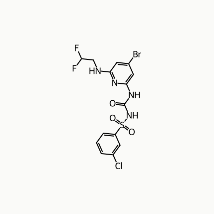 O=C(Nc1cc(Br)cc(NCC(F)F)n1)NS(=O)(=O)c1cccc(Cl)c1